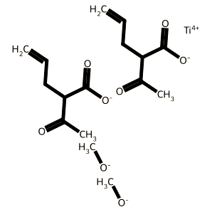 C=CCC(C(C)=O)C(=O)[O-].C=CCC(C(C)=O)C(=O)[O-].C[O-].C[O-].[Ti+4]